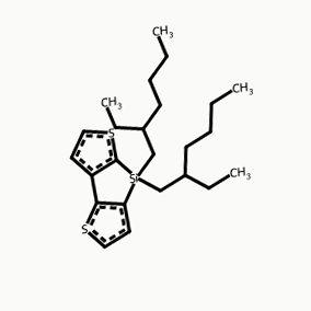 CCCCC(CC)C[Si]1(CC(CC)CCCC)c2ccsc2-c2ccsc21